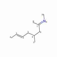 CC=CCC(C)C/C(C)=N/C